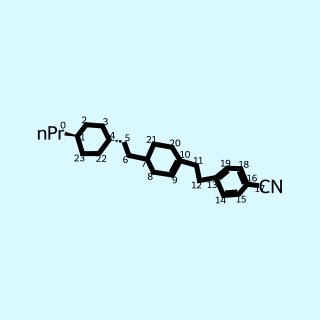 CCC[C@H]1CC[C@H](CCC2CC=C(CCc3ccc(C#N)cc3)CC2)CC1